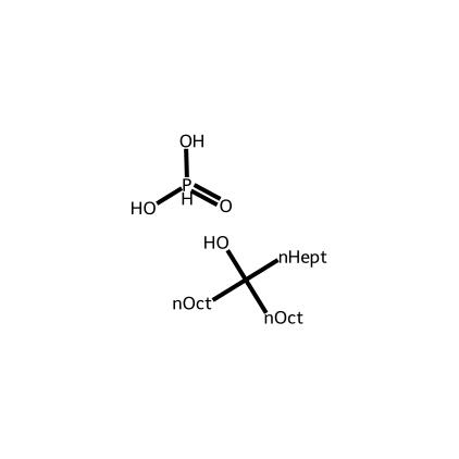 CCCCCCCCC(O)(CCCCCCC)CCCCCCCC.O=[PH](O)O